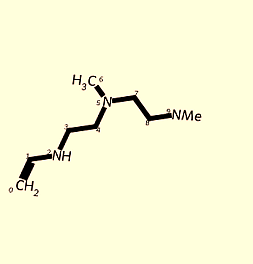 C=CNCCN(C)CCNC